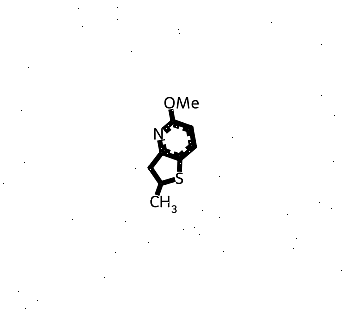 COc1ccc2c(n1)CC(C)S2